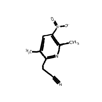 Cc1cc([N+](=O)[O-])c(C)nc1CC#N